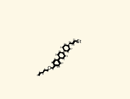 C=CCCCOCc1ccc(C2CCC([C@H]3CC[C@H](C/C=C/CC)CC3)CC2)cc1